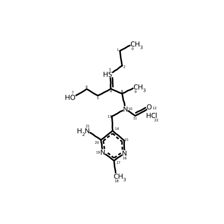 CCC/[SH]=C(/CCO)C(C)N(C=O)Cc1cnc(C)nc1N.Cl